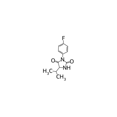 CC(C)C1NC(=O)N(c2ccc(F)cc2)C1=O